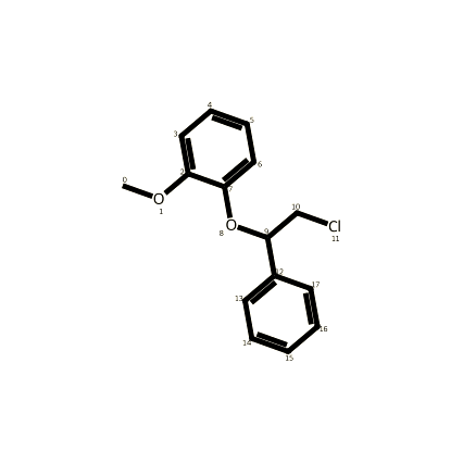 COc1ccccc1OC(CCl)c1ccccc1